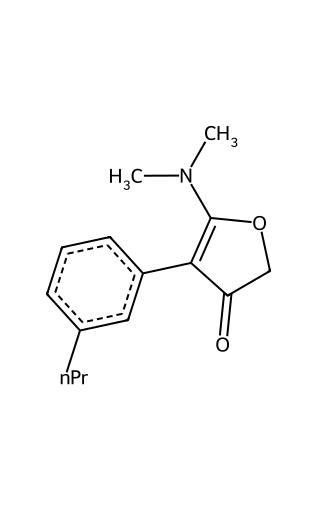 CCCc1cccc(C2=C(N(C)C)OCC2=O)c1